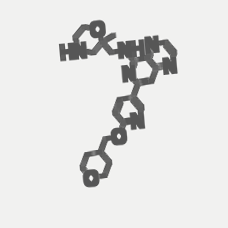 CC1(CNc2nc(-c3ccc(OCC4CCOCC4)nc3)cc3nccnc23)CNCCO1